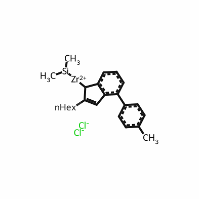 CCCCCCC1=Cc2c(-c3ccc(C)cc3)cccc2[CH]1[Zr+2][Si](C)C.[Cl-].[Cl-]